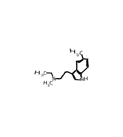 CCN(C)CCc1c[nH]c2ccc(C)cc12